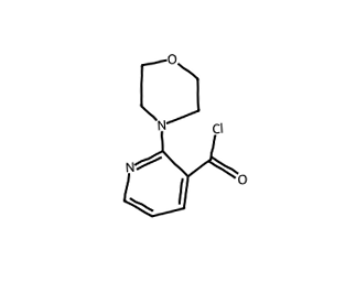 O=C(Cl)c1cccnc1N1CCOCC1